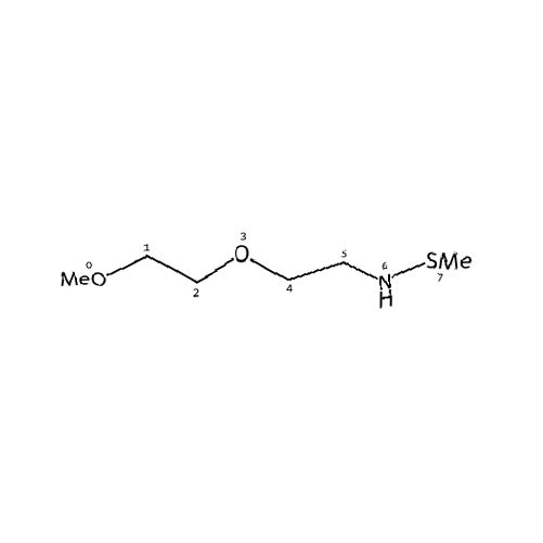 COCCOCCNSC